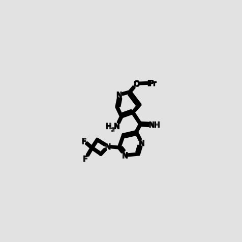 CC(C)Oc1cc(C(=N)c2cc(N3CC(F)(F)C3)ncn2)c(N)cn1